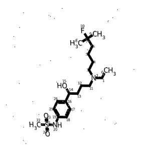 CCN(CCCCC(C)(C)F)CCCC(O)c1ccc(NS(C)(=O)=O)cc1